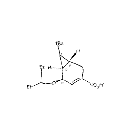 CCC(CC)O[C@@H]1C=C(C(=O)O)C[C@@H]2[C@@H]1N2C(C)(C)C